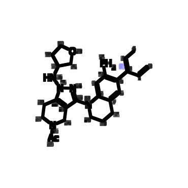 C=C/C(=C\C)c1cc2c(cc1P)N(c1nn(NC3CCOC3)c3c1CN(C(C)=O)CC3)CCC2